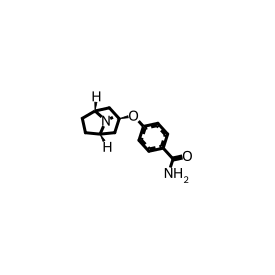 CN1[C@@H]2CC[C@H]1C[C@H](Oc1ccc(C(N)=O)cc1)C2